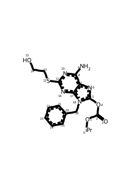 CC(C)OC(=O)Oc1nc2c(N)nc(SCCO)nc2n1Cc1ccccc1